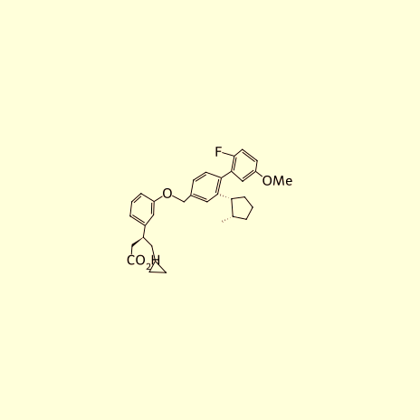 COc1ccc(F)c(-c2ccc(COc3cccc([C@H](CC(=O)O)CC4CC4)c3)cc2[C@@H]2CCC[C@@H]2C)c1